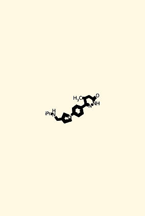 CC(C)NCc1ccn(-c2ccc(C3=NNC(=O)CC3C)cc2)c1